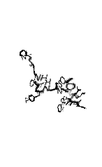 CCCN(C(=O)[C@@H](NC(=O)[C@H]1CCCCN1C)[C@@H](C)CC)[C@H](C[C@@H](OC(C)=O)c1nc(CN[C@@H](Cc2ccc(F)cc2)C[C@H](C)C(=O)NCCSSc2ccccn2)cs1)C(C)C